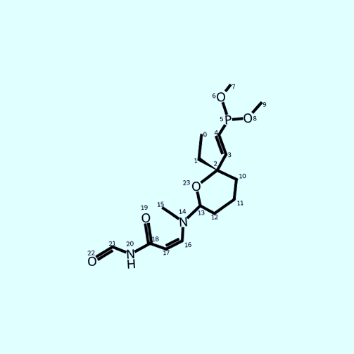 CC[C@@]1(/C=C/P(OC)OC)CCCC(N(C)/C=C\C(=O)NC=O)O1